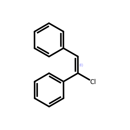 Cl/C(=C/c1ccccc1)c1ccccc1